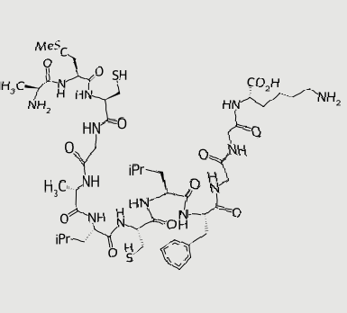 CSCC[C@H](NC(=O)[C@H](C)N)C(=O)N[C@@H](CS)C(=O)NCC(=O)N[C@@H](C)C(=O)N[C@@H](CC(C)C)C(=O)N[C@@H](CS)C(=O)N[C@@H](CC(C)C)C(=O)N[C@@H](Cc1ccccc1)C(=O)NCC(=O)NCC(=O)N[C@@H](CCCCN)C(=O)O